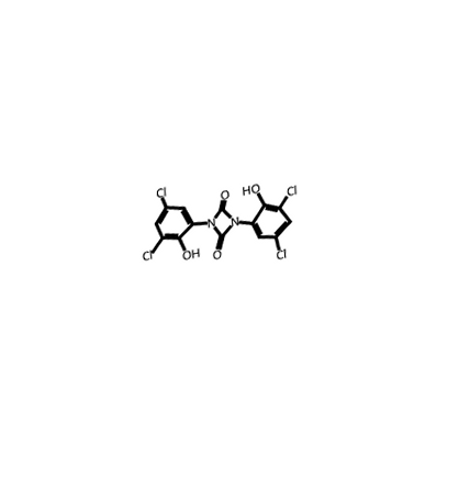 O=C1N(c2cc(Cl)cc(Cl)c2O)C(=O)N1c1cc(Cl)cc(Cl)c1O